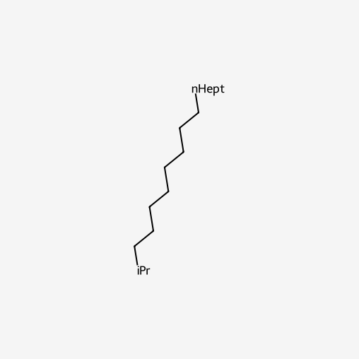 [CH2]CCCCCCCCCCCCCCC([CH2])C